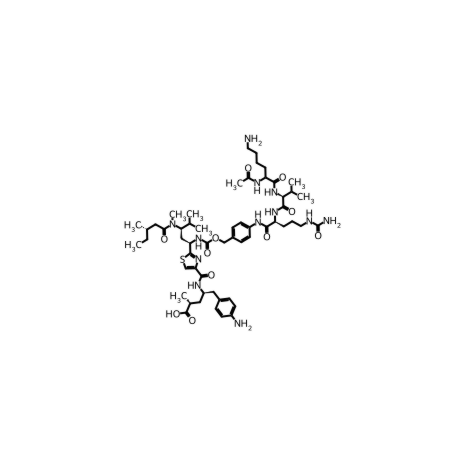 CC[C@H](C)CC(=O)N(C)[C@H](C[C@@H](NC(=O)OCc1ccc(NC(=O)[C@H](CCCNC(N)=O)NC(=O)[C@@H](NC(=O)C(CCCCN)NC(C)=O)C(C)C)cc1)c1nc(C(=O)N[C@@H](Cc2ccc(N)cc2)C[C@H](C)C(=O)O)cs1)C(C)C